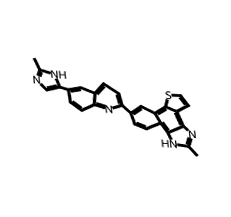 Cc1ncc(-c2ccc3nc(-c4ccc5c(c4)c4sccc4c4nc(C)[nH]c54)ccc3c2)[nH]1